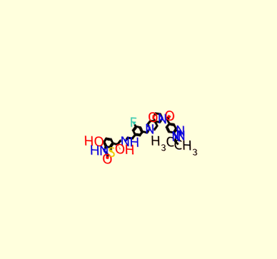 CC(C)n1nnc2cc(C(=O)N3CCOC4(CCN(Cc5cc(F)cc(CCNC[C@H](O)c6ccc(O)c7[nH]c(=O)sc67)c5)CC4)C3)ccc21